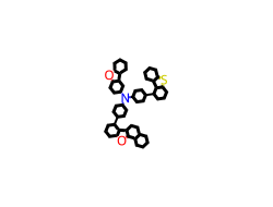 c1ccc2c(c1)ccc1c2oc2cccc(-c3ccc(N(c4ccc(-c5cccc6sc7ccccc7c56)cc4)c4ccc5oc6ccccc6c5c4)cc3)c21